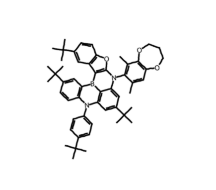 Cc1cc2c(c(C)c1N1c3cc(C(C)(C)C)cc4c3B(c3cc(C(C)(C)C)ccc3N4c3ccc(C(C)(C)C)cc3)c3c1oc1ccc(C(C)(C)C)cc31)OCCCO2